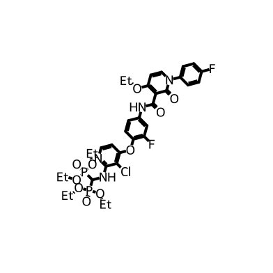 CCOc1ccn(-c2ccc(F)cc2)c(=O)c1C(=O)Nc1ccc(Oc2ccnc(NC(P(=O)(OCC)OCC)P(=O)(OCC)OCC)c2Cl)c(F)c1